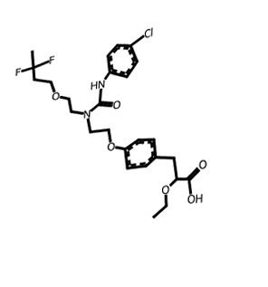 CCOC(Cc1ccc(OCCN(CCOCCC(C)(F)F)C(=O)Nc2ccc(Cl)cc2)cc1)C(=O)O